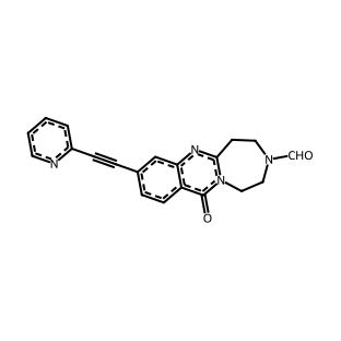 O=CN1CCc2nc3cc(C#Cc4ccccn4)ccc3c(=O)n2CC1